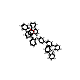 c1ccc(-c2ccccc2N(c2ccc(-c3ccc(-c4ccccc4-n4c5ccccc5c5ccccc54)cc3)cc2)c2ccc3c(c2)C(c2ccccc2)(c2ccccc2)c2ccccc2-3)cc1